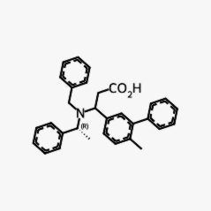 Cc1ccc(C(CC(=O)O)N(Cc2ccccc2)[C@H](C)c2ccccc2)cc1-c1ccccc1